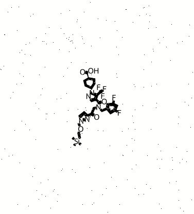 C[Si](C)(C)CCOCn1ccc(C(=O)CN(Cc2cc(F)cc(F)c2)C(=O)c2cnn([C@H]3CC[C@H](C(=O)O)CC3)c2C(F)(F)F)n1